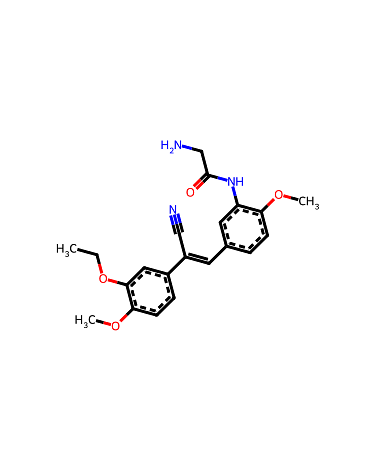 CCOc1cc(C(C#N)=Cc2ccc(OC)c(NC(=O)CN)c2)ccc1OC